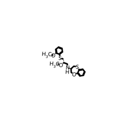 COc1ccccc1SC[C@H](CN[C@@H]1COc2ccccc2SC1)OC